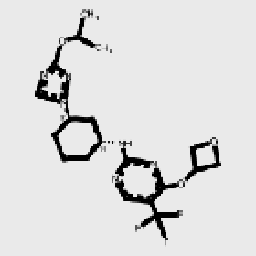 CC(C)Oc1ncn([C@@H]2CCC[C@@H](Nc3ncc(C(F)(F)F)c(OC4COC4)n3)C2)n1